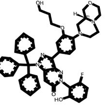 O=c1cc2c(nn1-c1c(O)cccc1F)c(-c1ccc(N3CCN4CCOC[C@H]4C3)c(OCCCO)c1)nn2C(c1ccccc1)(c1ccccc1)c1ccccc1